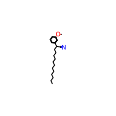 CCCCCCCCCCCCC(C#N)c1cccc(OC)c1